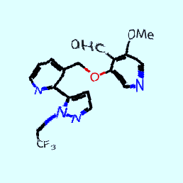 COc1cncc(OCc2cccnc2-c2ccnn2CC(F)(F)F)c1C=O